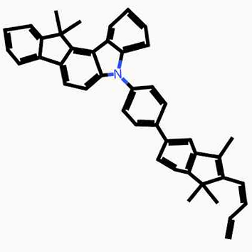 C=C/C=C\C1=C(C)c2cc(-c3ccc(-n4c5ccccc5c5c6c(ccc54)-c4ccccc4C6(C)C)cc3)ccc2C1(C)C